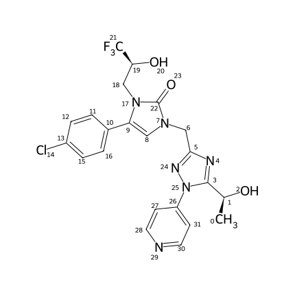 C[C@H](O)c1nc(Cn2cc(-c3ccc(Cl)cc3)n(C[C@H](O)C(F)(F)F)c2=O)nn1-c1ccncc1